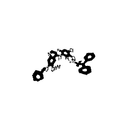 COc1cc2c(Nc3cc(O[SiH2]C(C)(C)C(c4ccccc4)c4ccccc4)c(Cl)cc3F)ccnc2cc1OCc1ccccc1